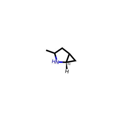 CC1CC2C[C@@H]2N1